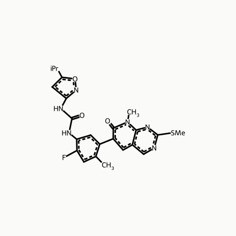 CSc1ncc2cc(-c3cc(NC(=O)Nc4cc(C(C)C)on4)c(F)cc3C)c(=O)n(C)c2n1